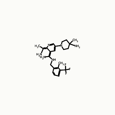 C/C(N)=c1\ncc(N2CCC(C)(N)CC2)c\c1=C(\N)NCc1cccc(C(F)(F)F)c1C